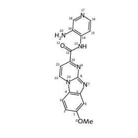 COc1ccc2c(c1)nc1nc(C(=O)Nc3ccncc3N)ccn12